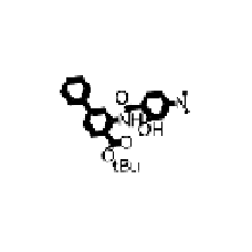 CN(C)c1ccc(C(=O)Nc2cc(-c3ccccc3)ccc2C(=O)OC(C)(C)C)c(O)c1